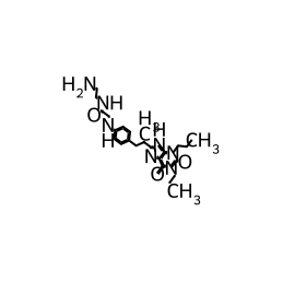 CCCn1c(=O)c2nc(C(C)Cc3ccc(NCC(=O)NCCN)cc3)[nH]c2n(CCC)c1=O